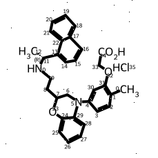 Cc1ccc(N2CC(CCN[C@H](C)c3cccc4ccccc34)Oc3ccccc32)cc1OCC(=O)O.Cl